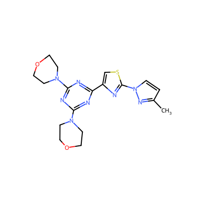 Cc1ccn(-c2nc(-c3nc(N4CCOCC4)nc(N4CCOCC4)n3)cs2)n1